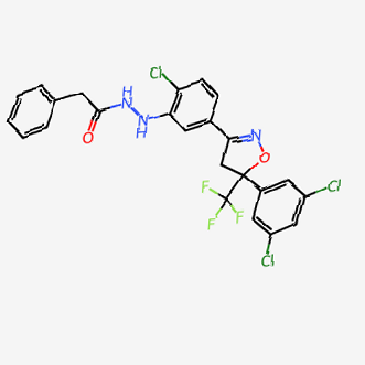 O=C(Cc1ccccc1)NNc1cc(C2=NOC(c3cc(Cl)cc(Cl)c3)(C(F)(F)F)C2)ccc1Cl